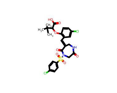 CC(C)(C)C(Oc1ccc(Cl)cc1/C=C1\CNC(=O)CN(S(=O)(=O)c2ccc(Cl)cc2)C1=O)C(=O)O